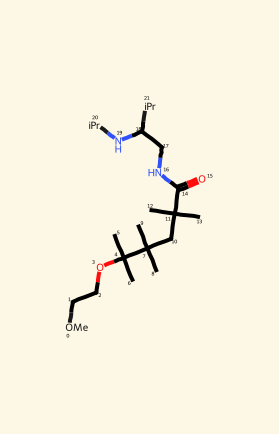 COCCOC(C)(C)C(C)(C)CC(C)(C)C(=O)NCC(NC(C)C)C(C)C